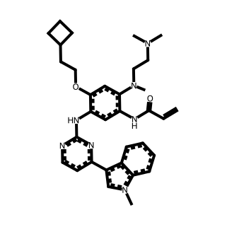 C=CC(=O)Nc1cc(Nc2nccc(-c3cn(C)c4ccccc34)n2)c(OCCC2CCC2)cc1N(C)CCN(C)C